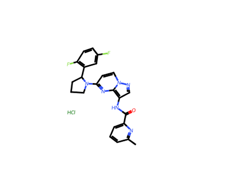 Cc1cccc(C(=O)Nc2cnn3ccc(N4CCCC4c4cc(F)ccc4F)nc23)n1.Cl